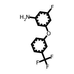 Nc1cc(F)cc(Oc2cccc(C(F)(F)F)c2)c1